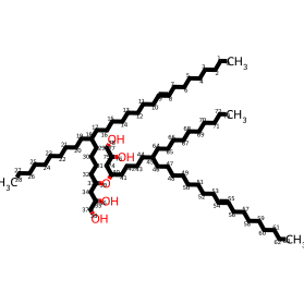 CCCCCCCCC=CCCCCCCCCC(CCCCCCCCCC)CCCCC(CC(O)CO)OC(CCCCC(CCCCCCCCC=CCCCCCCCC)CCCCCCCCCC)CC(O)CO